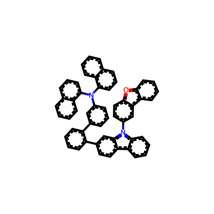 c1cc(-c2ccccc2-c2ccc3c4ccccc4n(-c4ccc5oc6ccccc6c5c4)c3c2)cc(N(c2cccc3ccccc23)c2cccc3ccccc23)c1